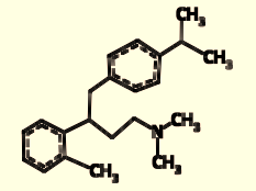 Cc1ccccc1C(CCN(C)C)Cc1ccc(C(C)C)cc1